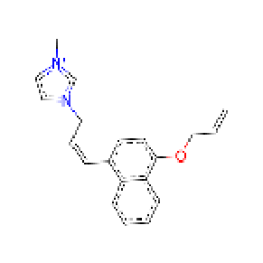 C=CCOc1ccc(/C=C\Cn2cc[n+](C)c2)c2ccccc12